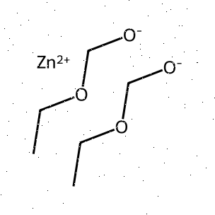 CCOC[O-].CCOC[O-].[Zn+2]